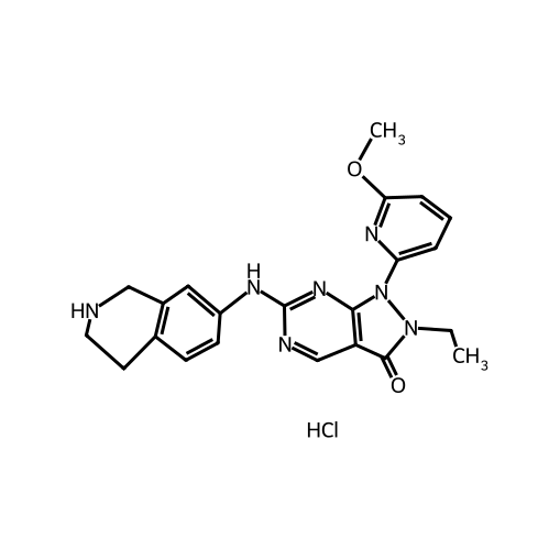 CCn1c(=O)c2cnc(Nc3ccc4c(c3)CNCC4)nc2n1-c1cccc(OC)n1.Cl